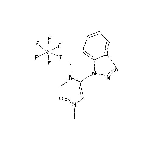 CN(C)C(=C[N+](C)=O)n1nnc2ccccc21.F[P-](F)(F)(F)(F)F